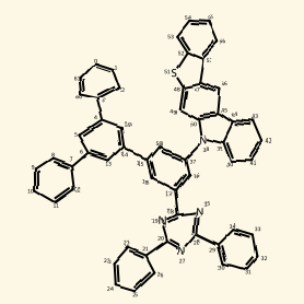 c1ccc(-c2cc(-c3ccccc3)cc(-c3cc(-c4nc(-c5ccccc5)nc(-c5ccccc5)n4)cc(-n4c5ccccc5c5cc6c(cc54)sc4ccccc46)c3)c2)cc1